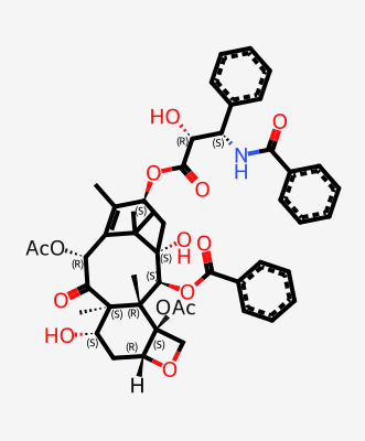 CC(=O)O[C@H]1C(=O)[C@]2(C)[C@@H](O)C[C@H]3OC[C@@]3(OC(C)=O)[C@@]2(C)[C@H](OC(=O)c2ccccc2)[C@]2(O)C[C@H](OC(=O)[C@H](O)[C@@H](NC(=O)c3ccccc3)c3ccccc3)C(C)=C1C2(C)C